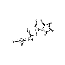 CC(C)C12CC(NC(=O)Cn3cccc4nnnc3-4)(C1)C2